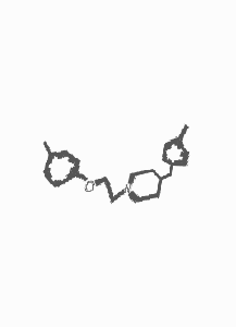 Cc1ccc(CC2CCN(CCOc3ccc(C)cc3)CC2)cc1